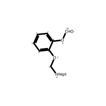 CCCCCCCCOc1ccccc1O[C]=O